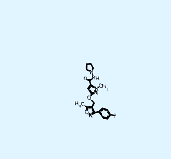 Cc1onc(-c2ccc(F)cc2)c1COc1cc(C(=O)NN2CCCC2)n(C)n1